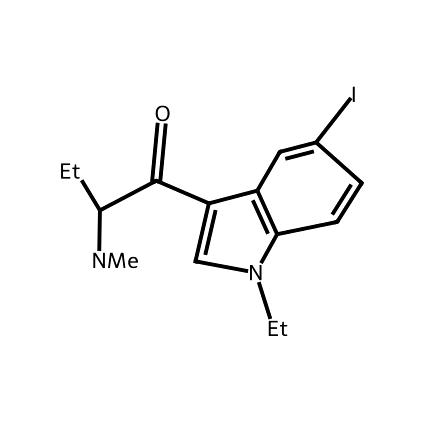 CCC(NC)C(=O)c1cn(CC)c2ccc(I)cc12